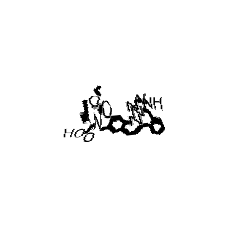 CCCOC(=O)N(Cc1ccc2nc(-c3ccccc3-c3nnn[nH]3)ccc2c1)[C@H](C(=O)O)C(C)C